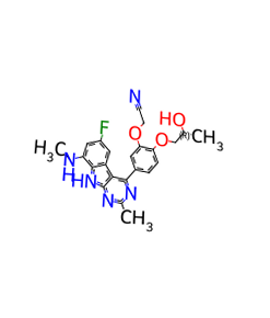 CNc1cc(F)cc2c1[nH]c1nc(C)nc(-c3ccc(OC[C@@H](C)O)c(OCC#N)c3)c12